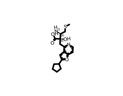 CSC[C@H](N)[C@](O)(Cc1nccc2oc(C3CCCC3)cc12)C(=O)O